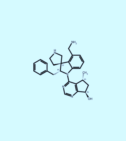 C[C@@H]1C[C@@H](O)c2ncnc(N3c4cccc(CN)c4[C@]4(CCNC4)[C@H]3Cc3ccccc3)c21